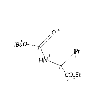 CCOC(=O)C(NC(=O)OCC(C)C)C(C)C